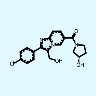 O=C(c1ccc2nc(-c3ccc(Cl)cc3)c(CO)n2c1)N1CC[C@@H](O)C1